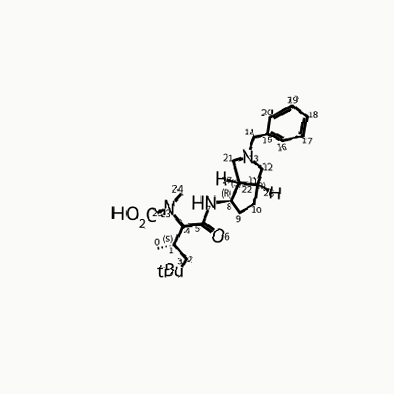 C[C@@H](CC(C)(C)C)C(C(=O)N[C@@H]1CC[C@H]2CN(Cc3ccccc3)C[C@H]21)N(C)C(=O)O